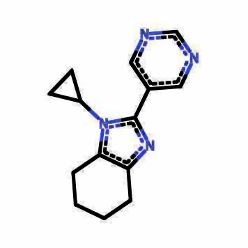 c1ncc(-c2nc3c(n2C2CC2)CCCC3)cn1